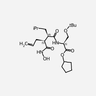 C=CC[C@H](C(=O)NO)[C@@H](CC(C)C)C(=O)N[C@@H](COC(C)(C)C)C(=O)OC1CCCC1